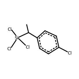 CC(c1ccc(Cl)cc1)[Si](Cl)(Cl)Cl